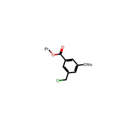 COc1cc(CCl)cc(C(=O)OC(C)C)c1